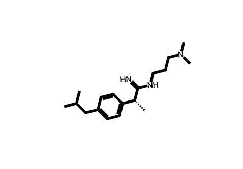 CC(C)Cc1ccc([C@@H](C)C(=N)NCCCN(C)C)cc1